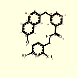 Cc1nc(N)ccc1CNC(=O)c1cncc(Cc2cnc3ccc(Cl)cc3c2)n1